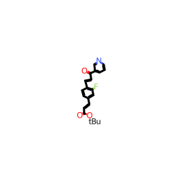 CC(C)(C)OC(=O)C=Cc1ccc(C=CC(=O)c2cccnc2)c(F)c1